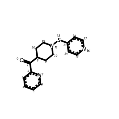 O=C(c1ccccn1)C1CCN(Sc2ccncc2)CC1